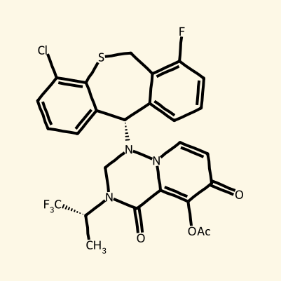 CC(=O)Oc1c2n(ccc1=O)N([C@H]1c3cccc(F)c3CSc3c(Cl)cccc31)CN([C@H](C)C(F)(F)F)C2=O